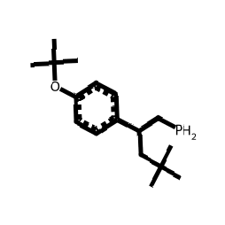 CC(C)(C)CC(CP)c1ccc(OC(C)(C)C)cc1